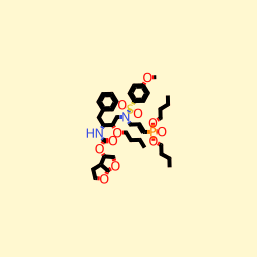 CCCCOC(CN(C/C=C/P(=O)(OCCCC)OCCCC)S(=O)(=O)c1ccc(OC)cc1)C(Cc1ccccc1)NC(=O)OC1COC2OCCC12